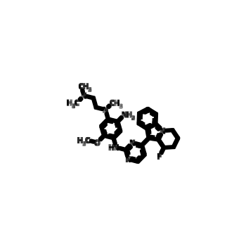 COc1cc(N(C)CCN(C)C)c(N)cc1Nc1nccc(-c2c3n(c4ccccc24)CCCC3F)n1